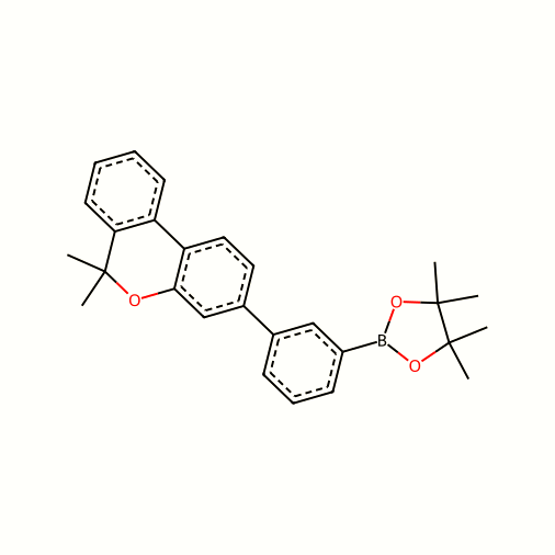 CC1(C)Oc2cc(-c3cccc(B4OC(C)(C)C(C)(C)O4)c3)ccc2-c2ccccc21